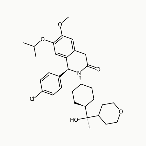 COc1cc2c(cc1OC(C)C)[C@H](c1ccc(Cl)cc1)N([C@H]1CC[C@H]([C@](C)(O)C3CCOCC3)CC1)C(=O)C2